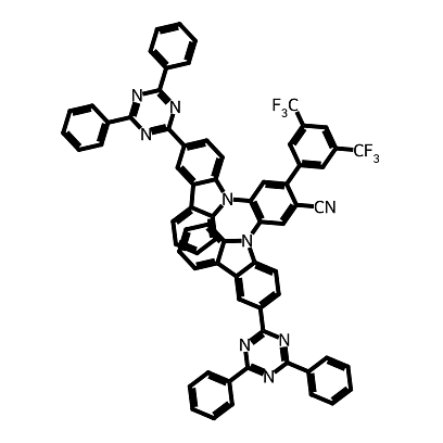 N#Cc1cc(-n2c3ccccc3c3cc(-c4nc(-c5ccccc5)nc(-c5ccccc5)n4)ccc32)c(-n2c3ccccc3c3cc(-c4nc(-c5ccccc5)nc(-c5ccccc5)n4)ccc32)cc1-c1cc(C(F)(F)F)cc(C(F)(F)F)c1